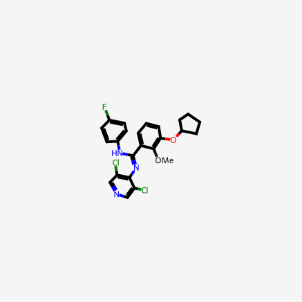 COc1c(OC2CCCC2)cccc1C(=Nc1c(Cl)cncc1Cl)Nc1ccc(F)cc1